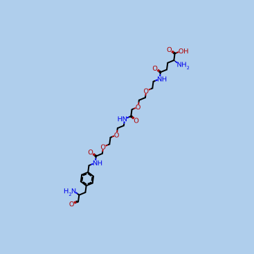 NC(C=O)Cc1ccc(CNC(=O)COCCOCCNC(=O)COCCOCCNC(=O)CC[C@H](N)C(=O)O)cc1